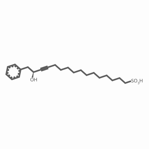 O=S(=O)(O)CCCCCCCCCCCCC#C[C@@H](O)Cc1ccccc1